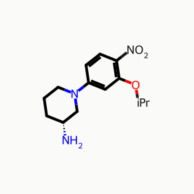 CC(C)Oc1cc(N2CCC[C@@H](N)C2)ccc1[N+](=O)[O-]